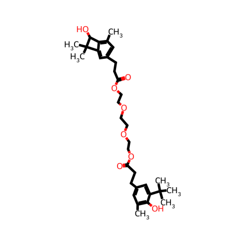 Cc1cc(CCC(=O)OCCOCCOCCOC(=O)CCc2cc(C)c3c(c2)C(C)(C)C3O)cc(C(C)(C)C)c1O